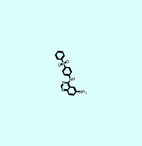 Nc1ccc2ncnc(Nc3ccc(S(=O)(=O)c4ccccc4)cc3)c2c1